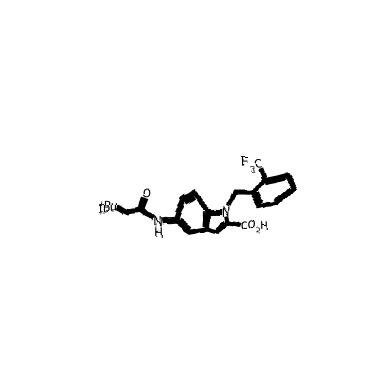 CC(C)(C)CC(=O)Nc1ccc2c(c1)cc(C(=O)O)n2Cc1ccccc1C(F)(F)F